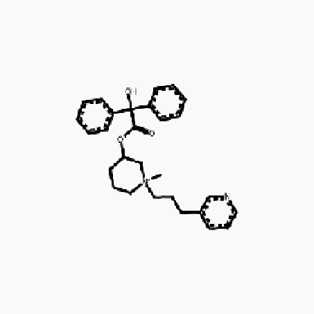 C[N+]1(CCCc2cccnc2)CCCC(OC(=O)C(O)(c2ccccc2)c2ccccc2)C1